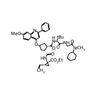 C=C[C@@H]1C[C@]1(NC(=O)[C@@H]1C[C@@H](Oc2cc(-c3ccccc3)nc3cc(OC)ccc23)C[C@H]1C(=O)N[C@H](C(=O)NCC(=O)N(C)C1CCCCC1)C(C)(C)C)C(=O)OCC